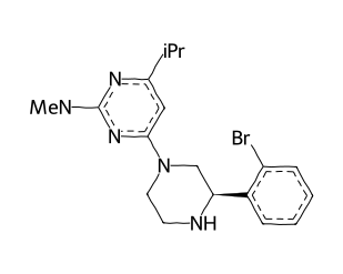 CNc1nc(C(C)C)cc(N2CCN[C@H](c3ccccc3Br)C2)n1